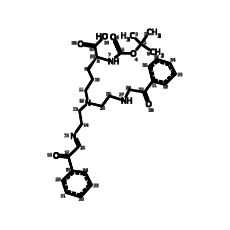 CC(C)(C)OC(=O)N[C@@H](CCCN(CCN=CC(=O)c1ccccc1)CCNCC(=O)c1ccccc1)C(=O)O